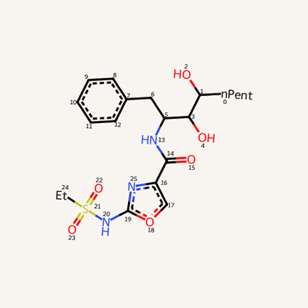 CCCCCC(O)C(O)C(Cc1ccccc1)NC(=O)c1coc(NS(=O)(=O)CC)n1